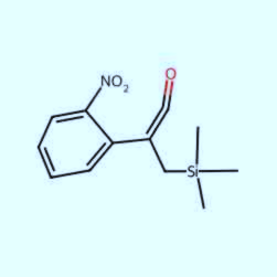 C[Si](C)(C)CC(=C=O)c1ccccc1[N+](=O)[O-]